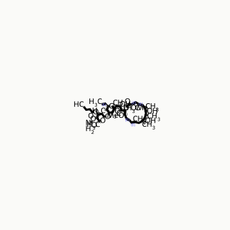 C#CCCC(=O)O[C@H]1C[C@@H](O[C@@H]2C[C@](O)([C@@H](C)[C@H](O)[C@H](C)[C@H]3OC(=O)/C(OC)=C/C(C)=C/[C@@H](C)[C@@H](O)[C@@H](C)[C@@H](O)[C@H](C)C/C(C)=C/C=C/[C@@H]3OC)O[C@H](/C=C/C)[C@H]2C)O[C@@H](C)[C@@H]1OC(N)=O